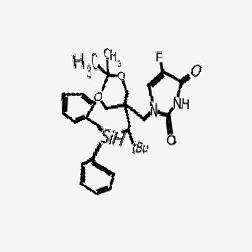 CC1(C)OCC(Cn2cc(F)c(=O)[nH]c2=O)(C([SiH](c2ccccc2)c2ccccc2)C(C)(C)C)CO1